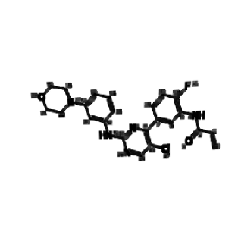 C=CC(=O)Nc1cc(-c2nc(Nc3cccc(N4CCOCC4)c3)ncc2Cl)ccc1F